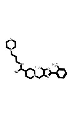 Cc1ccccc1-c1nc(CN2CCC(C(O)NCCCN3CCOCC3)CC2)c(C)o1